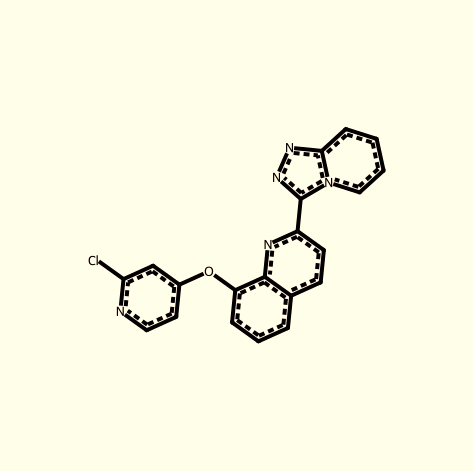 Clc1cc(Oc2cccc3ccc(-c4nnc5ccccn45)nc23)ccn1